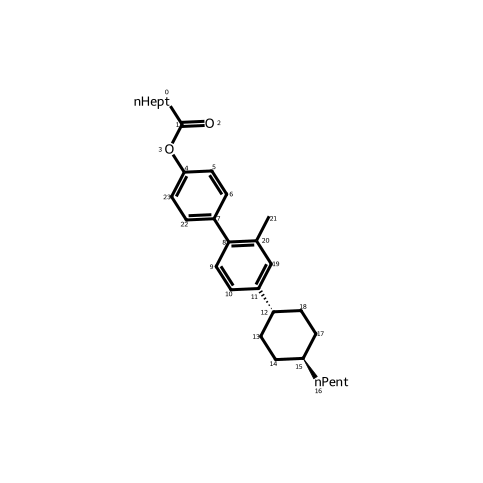 CCCCCCCC(=O)Oc1ccc(-c2ccc([C@H]3CC[C@H](CCCCC)CC3)cc2C)cc1